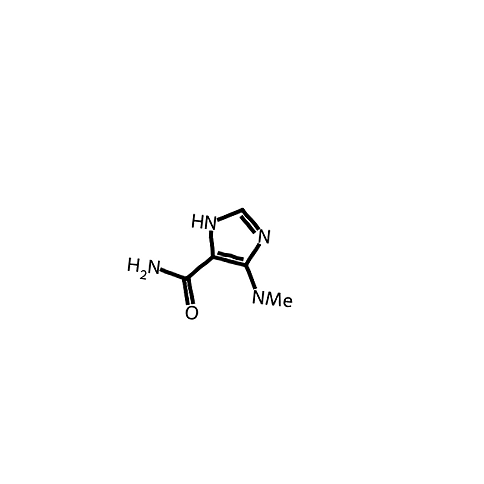 CNc1nc[nH]c1C(N)=O